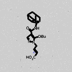 CC(C)COc1c(C(=O)NC2C3CC4CC(C3)CC2C4)cnn1C/C=C/C(=O)O